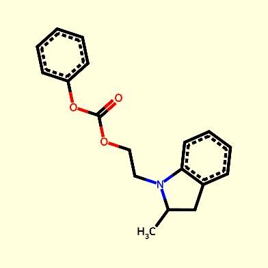 CC1Cc2ccccc2N1CCOC(=O)Oc1ccccc1